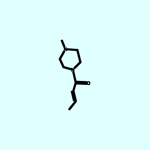 CC=CC(=O)N1CCN(C)CC1